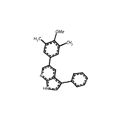 COc1c(C)cc(-c2cnc3[nH]cc(-c4ccccc4)c3c2)cc1C